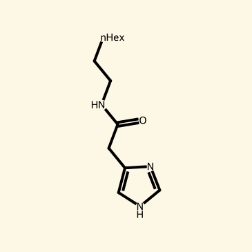 CCCCCCCCNC(=O)Cc1c[nH]cn1